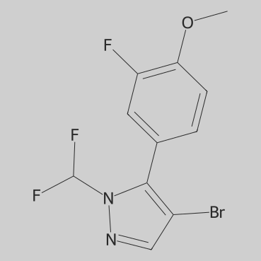 COc1ccc(-c2c(Br)cnn2C(F)F)cc1F